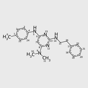 Cc1ccc(Nc2cc(N(C)C)nc(NCCc3ccccc3)n2)cc1